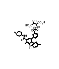 CCS(=O)(=O)c1cccc(-c2cc(C(=O)NC3CCN(C)CC3)c(C)c3[nH]c4ncc(C)cc4c23)c1.O=C(O)C(O)C(O)C(=O)O